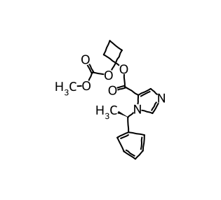 COC(=O)OC1(OC(=O)c2cncn2[C@H](C)c2ccccc2)CCC1